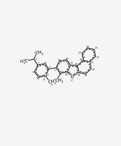 Cc1c(-c2cc(C(C)C)cc[n+]2C)ccc2c1oc1ccc3ccccc3c12